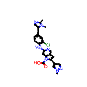 Cc1ncc(-c2ccc(Nc3cc4c(cn3)cc(-c3cnn(C)c3)n4C(=O)O)c(Cl)c2)n1C